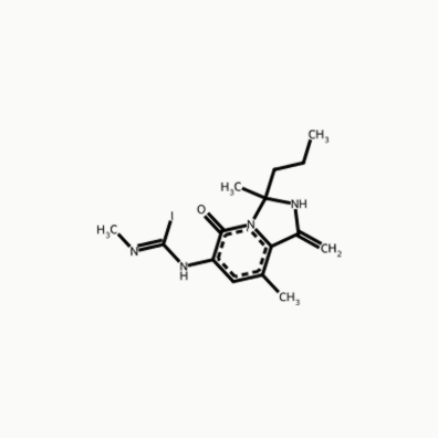 C=C1NC(C)(CCC)n2c1c(C)cc(N/C(I)=N/C)c2=O